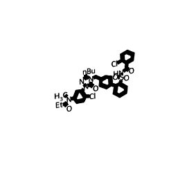 CCCCc1nn(-c2cc(N(C)C(=O)CC)ccc2Cl)c(=O)n1Cc1ccc(-c2ccccc2S(=O)(=O)NC(=O)c2ccccc2Cl)cc1